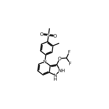 Cc1cc(N2C=CC=C3NNC(OC(F)F)=C32)ccc1S(C)(=O)=O